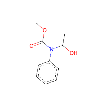 COC(=O)N(c1ccccc1)C(C)O